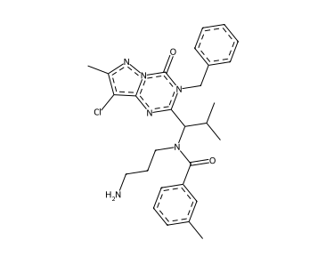 Cc1cccc(C(=O)N(CCCN)C(c2nc3c(Cl)c(C)nn3c(=O)n2Cc2ccccc2)C(C)C)c1